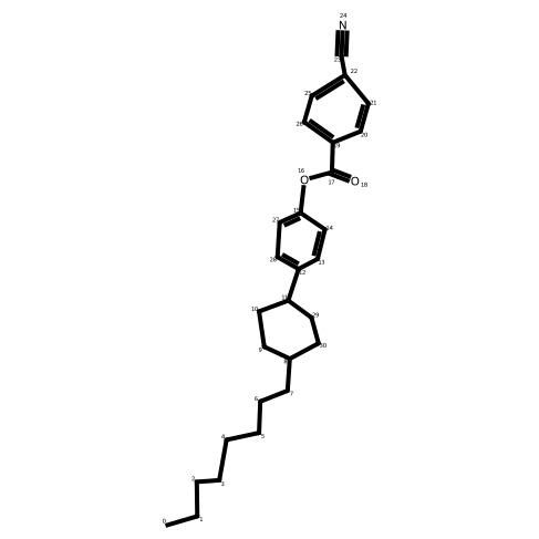 CCCCCCCCC1CCC(c2ccc(OC(=O)c3ccc(C#N)cc3)cc2)CC1